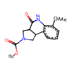 COc1cccc2c1NC(=O)C1CN(C(=O)OC(C)(C)C)CC21